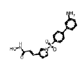 Nc1cccc(-c2ccc(S(=O)(=O)n3ccc(C=CC(=O)NO)c3)cc2)c1